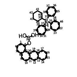 OB(O)Oc1cccc2ccc3cc4ccccc4cc3c12.c1ccc([PH](c2ccccc2)(c2ccccc2)C2CCCCC2)cc1